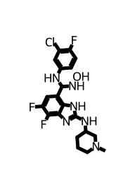 CN1CCCC(Nc2nc3c(F)c(F)cc(C(NO)Nc4ccc(F)c(Cl)c4)c3[nH]2)C1